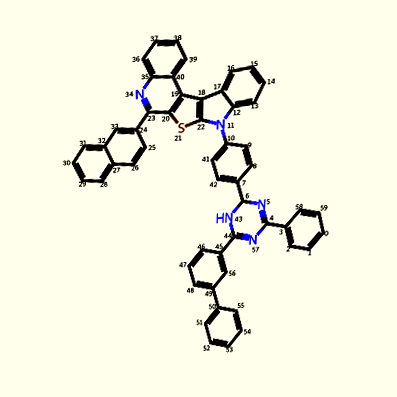 c1ccc(C2=NC(c3ccc(-n4c5ccccc5c5c6c(sc54)c(-c4ccc5ccccc5c4)nc4ccccc46)cc3)NC(c3cccc(-c4ccccc4)c3)=N2)cc1